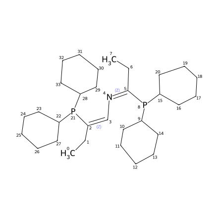 CC/C(=C/N=C(/CC)P(C1CCCCC1)C1CCCCC1)P(C1CCCCC1)C1CCCCC1